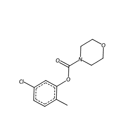 Cc1ccc(Cl)cc1OC(=O)N1CCOCC1